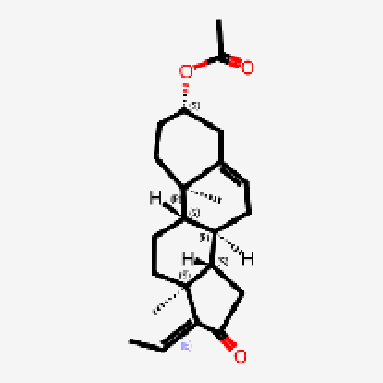 C/C=C1/C(=O)C[C@H]2[C@@H]3CC=C4C[C@@H](OC(C)=O)CC[C@]4(C)[C@H]3CC[C@]12C